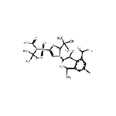 CC(C)c1cc(F)cc(C(C)C)c1C(C)C(=O)N1C=C(S(=N)(=O)N(C(=O)O)C(C)(C)C)SC1C(C)(C)O